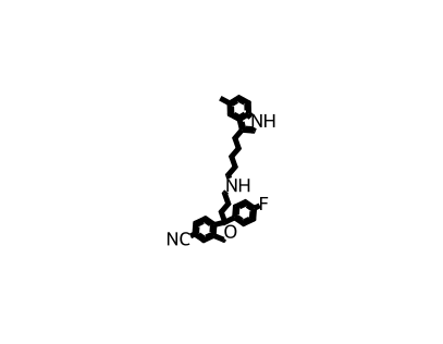 Cc1ccc2[nH]cc(CCCCCNCCCC3(c4ccc(F)cc4)OCc4cc(C#N)ccc43)c2c1